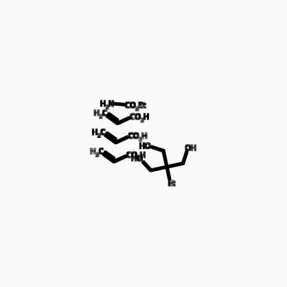 C=CC(=O)O.C=CC(=O)O.C=CC(=O)O.CCC(CO)(CO)CO.CCOC(N)=O